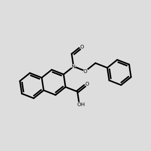 O=CN(OCc1ccccc1)c1cc2ccccc2cc1C(=O)O